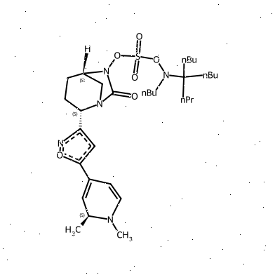 CCCCN(OS(=O)(=O)ON1C(=O)N2C[C@@H]1CC[C@H]2c1cc(C2=C[C@H](C)N(C)C=C2)on1)C(CCC)(CCCC)CCCC